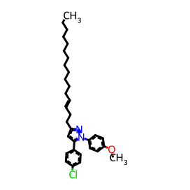 CCCCCCCCCCCCC=CCCc1cc(-c2ccc(Cl)cc2)n(-c2ccc(OC)cc2)n1